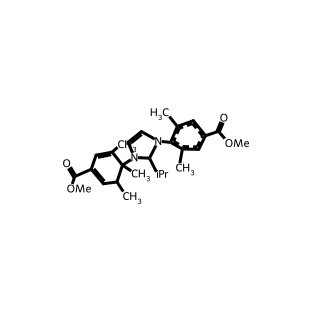 COC(=O)C1=CC(C)C(C)(N2C=CN(c3c(C)cc(C(=O)OC)cc3C)C2C(C)C)C(C)=C1